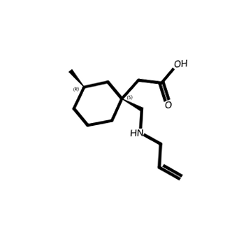 C=CCNC[C@@]1(CC(=O)O)CCC[C@@H](C)C1